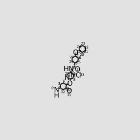 CNc1ccc(Oc2ccc(NC(=O)c3ccc(Oc4ccccc4)cc3)cn2)c(OC)c1.Cl